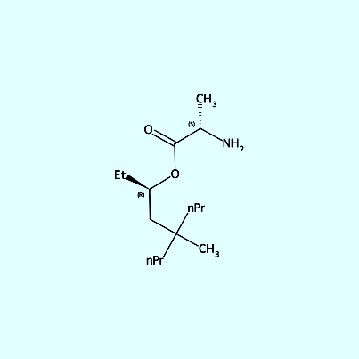 CCCC(C)(CCC)C[C@@H](CC)OC(=O)[C@H](C)N